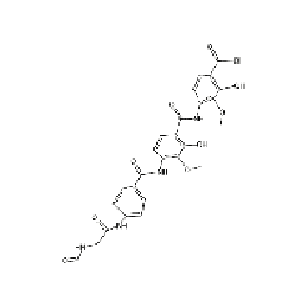 COc1c(NC(=O)c2ccc(NC(=O)c3ccc(NC(=O)CNC=O)cc3)c(OC)c2O)ccc(C(=O)O)c1O